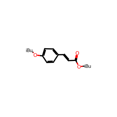 CCC(C)OC(=O)/C=C/c1ccc(OC(C)CC)cc1